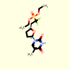 CCOP(=O)(OCC)C(F)(F)C[C@@H]1CC[C@H](n2cc(C)c(=O)[nH]c2=O)O1